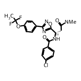 CNC(=O)C[C@H](NC(=O)c1ccc(Cl)cc1)c1nc(-c2ccc(OC(C)(F)F)cc2)no1